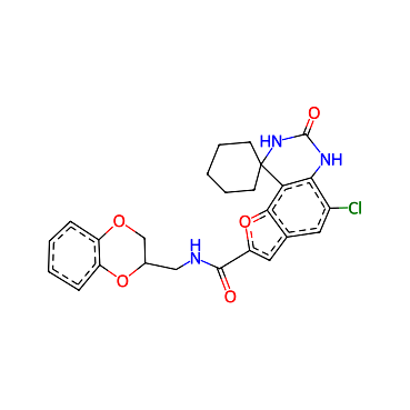 O=C1Nc2c(Cl)cc3cc(C(=O)NCC4COc5ccccc5O4)oc3c2C2(CCCCC2)N1